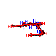 CN[C@@H](CCCCNC(=O)[C@H](CCCCNC(=O)COCCOCCNC(=O)COCCOCCNC(=O)CC[C@H](NC(=O)[C@H]1CC[C@H](CNC(=O)CCCCCCCCCCCCCCCCCCC(=O)O)CC1)C(=O)O)NC(=O)COCCOCCNC(=O)COCCOCCNC(=O)CC[C@H](NC(=O)[C@H]1CC[C@H](CNC(=O)CCCCCCCCCCCCCCCCCCC(=O)O)CC1)C(=O)O)C(=O)O